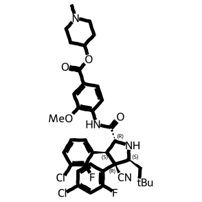 COc1cc(C(=O)OC2CCN(C)CC2)ccc1NC(=O)[C@@H]1N[C@@H](CC(C)(C)C)[C@](C#N)(c2ccc(Cl)cc2F)[C@H]1c1cccc(Cl)c1F